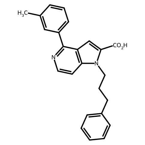 Cc1cccc(-c2nccc3c2cc(C(=O)O)n3CCCc2ccccc2)c1